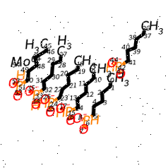 CCCCCC[PH](=O)[O-].CCCCCC[PH](=O)[O-].CCCCCC[PH](=O)[O-].CCCCCC[PH](=O)[O-].CCCCCC[PH](=O)[O-].CCCCCC[PH](=O)[O-].[Mo+6]